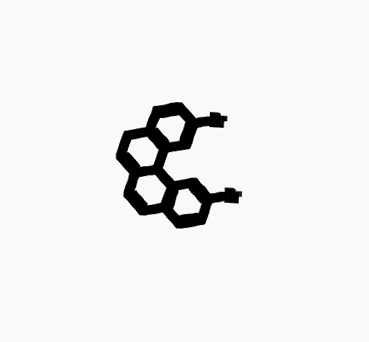 Brc1ccc2c(c1)C1C(=CCc3ccc(Br)cc31)C=C2